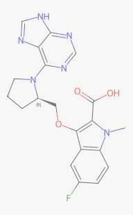 Cn1c(C(=O)O)c(OC[C@H]2CCCN2c2ncnc3[nH]cnc23)c2cc(F)ccc21